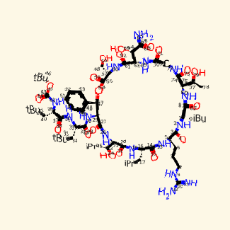 CC[C@H](C)C1NC(=O)[C@@H](CCCNC(=N)N)NC(=O)[C@H](CC(C)C)NC(=O)[C@H]([C@H](O)C(C)C)NC(=O)[C@@H](NC(=O)[C@H](CC(C)(C)C)NC(=O)[C@H](CC(C)(C)C)NC(=O)OC(C)(C)C)[C@@H](c2ccccc2)OC(=O)[C@H](CO)NC(=O)[C@H]([C@H](O)C(N)=O)NC(=O)CNC(=O)[C@H]([C@H](C)O)NC1=O